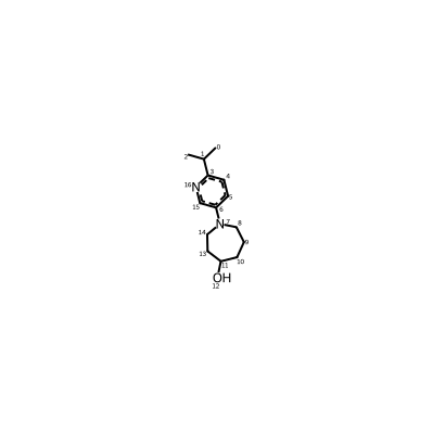 CC(C)c1ccc(N2CCCC(O)CC2)cn1